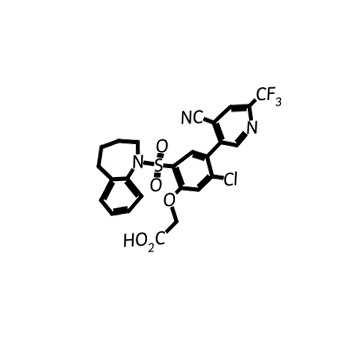 N#Cc1cc(C(F)(F)F)ncc1-c1cc(S(=O)(=O)N2CCCCc3ccccc32)c(OCC(=O)O)cc1Cl